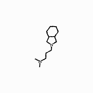 CN(C)CCCN1CC2CCCCC2C1